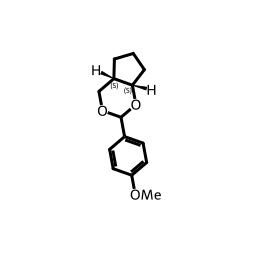 COc1ccc(C2OC[C@@H]3CCC[C@@H]3O2)cc1